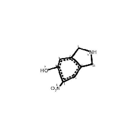 O=[N+]([O-])c1cc2c(cc1O)CNC2